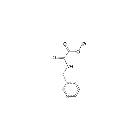 CC(C)OC(=O)C(=O)NCc1cccnc1